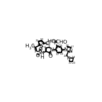 CC(=CS(=O)(=O)NC1CCN(c2ccc(-n3ccnc3CN3CCC3)cc2F)C1=O)c1ccc(Cl)s1.O=CO